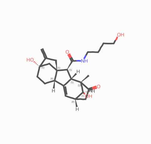 C=C1C[C@]23C[C@@]1(O)CC[C@H]2C1=C[C@H]2CC(=O)[C@@](C)([C@H]1[C@@H]3C(=O)NCCCCO)[C@H]2O